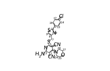 N#Cc1c(N)nc(SCc2csc(-c3ccc(Cl)cc3)n2)c(C#N)c1N1CCOCC1